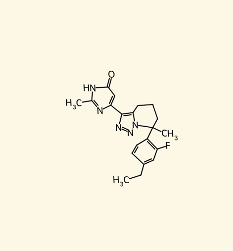 CCc1ccc(C2(C)CCCc3c(-c4cc(=O)[nH]c(C)n4)nnn32)c(F)c1